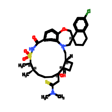 C[C@@H]1[C@@H](C)CCC[C@](O)(CC(=S)N(C)C)[C@@H]2CC[C@H]2CN2C[C@@]3(CCCc4cc(Cl)ccc43)COc3ccc(cc32)C(=O)NS1(=O)=O